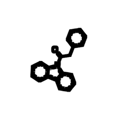 O=C(Cc1ccccc1)n1c2ccccc2c2ccccc21